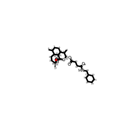 CC1CCC2C(C)[C@H](OC(=O)CCC(=O)NCC3CCCCC3)O[C@@H]3O[C@@]4(C)CCC1[C@@]23OO4